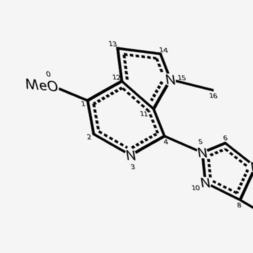 COc1cnc(-n2cnc(C)n2)c2c1ccn2C